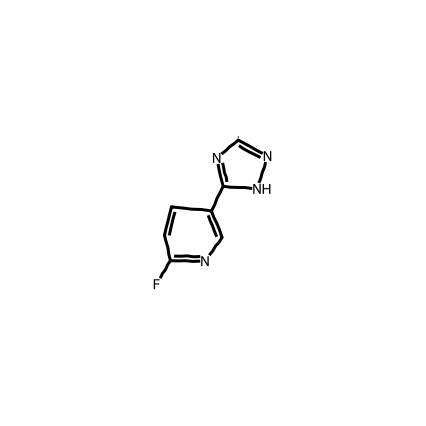 Fc1ccc(-c2n[c]n[nH]2)cn1